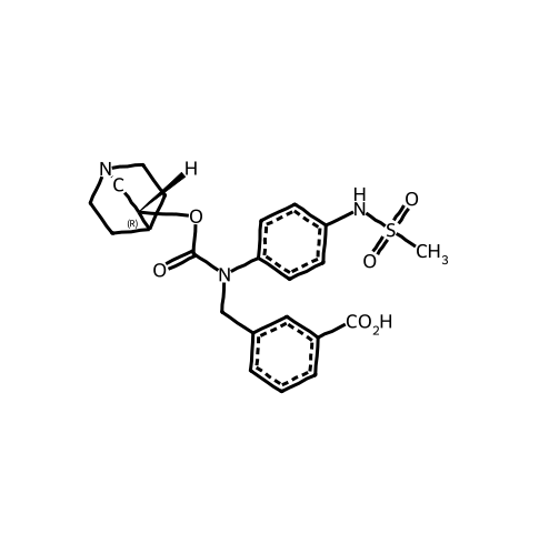 CS(=O)(=O)Nc1ccc(N(Cc2cccc(C(=O)O)c2)C(=O)O[C@H]2CN3CCC2CC3)cc1